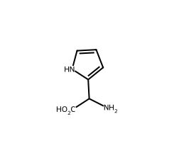 NC(C(=O)O)c1ccc[nH]1